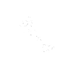 COc1nc(N)nc2c1ncn2[C@@H]1O[C@H](CO[P@]2(=O)N[C@@H](C(=O)O[C@H](C)c3ccccc3)CS2)[C@@H](O)[C@@]1(C)O